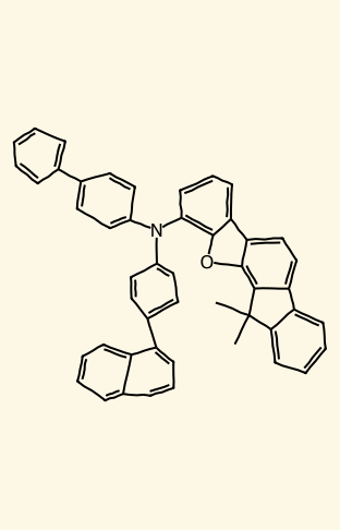 CC1(C)c2ccccc2-c2ccc3c(oc4c(N(c5ccc(-c6ccccc6)cc5)c5ccc(-c6cccc7ccccc67)cc5)cccc43)c21